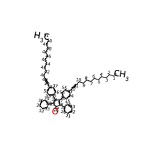 CCCCCCCCCCCC#Cc1ccc(C2=C(c3ccccc3)C(=O)C(c3ccccc3)=C2c2ccc(C#CCCCCCCCCCCC)cc2)cc1